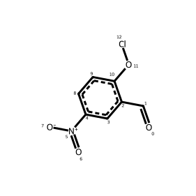 O=Cc1cc([N+](=O)[O-])ccc1OCl